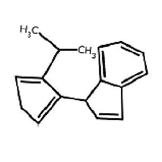 CC(C)C1=CC[C]=C1C1C=Cc2ccccc21